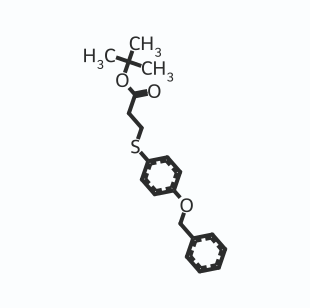 CC(C)(C)OC(=O)CCSc1ccc(OCc2ccccc2)cc1